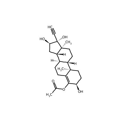 C#C[C@]1(O)[C@H](O)C[C@H]2[C@@H]3CCC4=C(OC(C)=O)[C@H](O)CC[C@]4(C)[C@H]3CC[C@@]21C